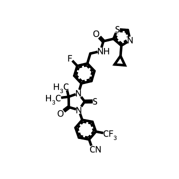 CC1(C)C(=O)N(c2ccc(C#N)c(C(F)(F)F)c2)C(=S)N1c1ccc(CNC(=O)c2scnc2C2CC2)c(F)c1